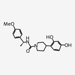 COc1ccc([C@H](C)NC(=O)N2CCC(c3ccc(O)cc3O)CC2)cc1